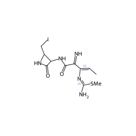 C/C=C(\N=C(\N)SC)C(=N)C(=O)NC1C(=O)NC1CI